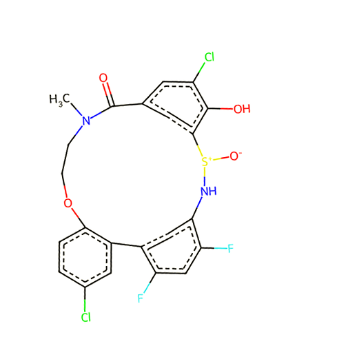 CN1CCOc2ccc(Cl)cc2-c2cc(c(F)cc2F)N[S+]([O-])c2cc(cc(Cl)c2O)C1=O